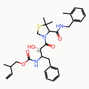 C=CC(C)COC(=O)NC(Cc1ccccc1)[C@H](O)C(=O)N1CSC(C)(C)C1C(=O)NCc1ccccc1C